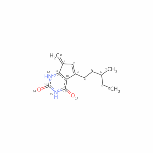 C=C1C=C(CCC(C)CC)c2c1[nH]c(=O)[nH]c2=O